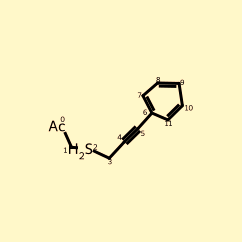 CC(=O)C[SH2]CC#Cc1ccccc1